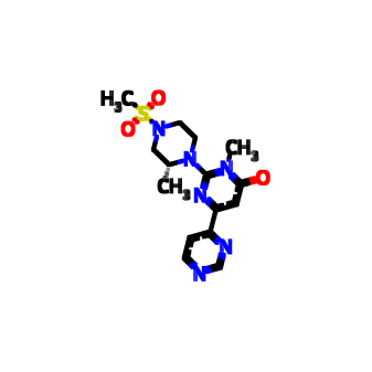 C[C@@H]1CN(S(C)(=O)=O)CCN1c1nc(-c2ccncn2)cc(=O)n1C